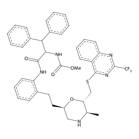 COC(=O)NC(C(=O)Nc1ccccc1CC[C@@H]1CN[C@H](C)[C@@H](CSc2nc(C(F)(F)F)nc3ccccc23)O1)C(c1ccccc1)c1ccccc1